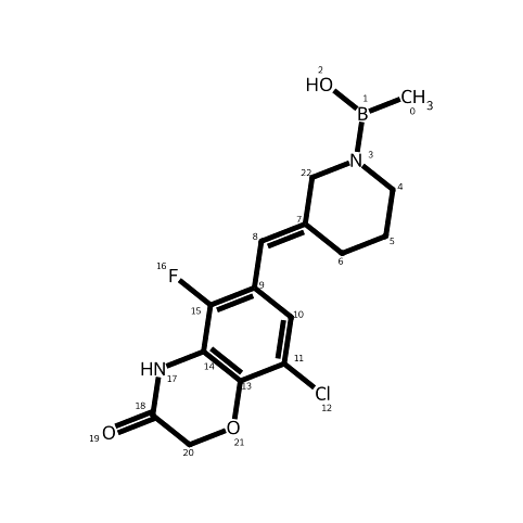 CB(O)N1CCC/C(=C\c2cc(Cl)c3c(c2F)NC(=O)CO3)C1